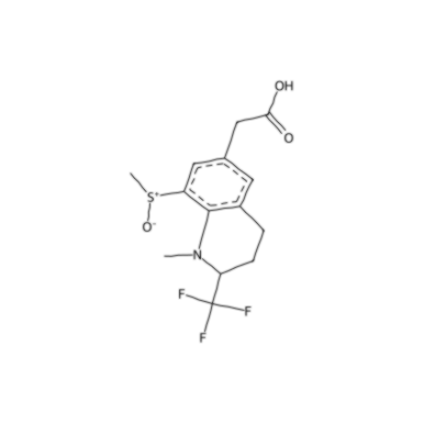 CN1c2c(cc(CC(=O)O)cc2[S+](C)[O-])CCC1C(F)(F)F